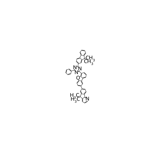 CC1(C)c2ccccc2-c2ccc(-c3nc(-c4ccccc4)nc(-c4cccc5c4oc4ccc(-c6ccc7c(c6)C(C)(C)c6cccnc6-7)cc45)n3)cc21